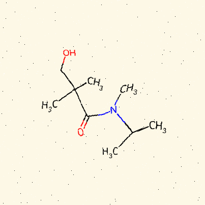 CC(C)N(C)C(=O)C(C)(C)CO